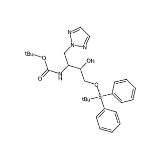 CC(C)(C)OC(=O)NC(Cn1nccn1)C(O)CO[Si](c1ccccc1)(c1ccccc1)C(C)(C)C